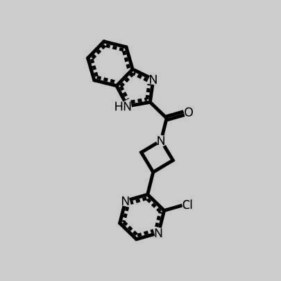 O=C(c1nc2ccccc2[nH]1)N1CC(c2nccnc2Cl)C1